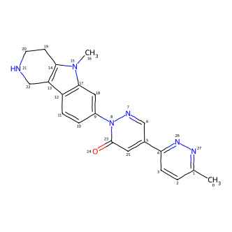 Cc1ccc(-c2cnn(-c3ccc4c5c(n(C)c4c3)CCNC5)c(=O)c2)nn1